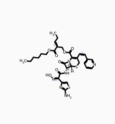 CC/C=C(\COC(=O)C1=C(/C=C\c2cccnc2)CS[C@@H]2[C@H](NC(=O)/C(=N\O)c3csc(N)n3)C(=O)N12)C(=O)OCCCCCC